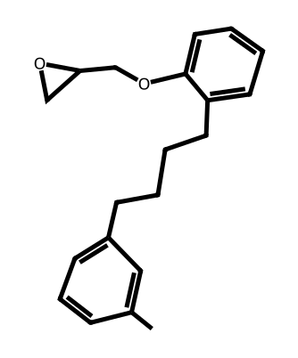 Cc1cccc(CCCCc2ccccc2OCC2CO2)c1